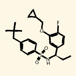 CC[C@@H](NS(=O)(=O)c1ccc(CC(C)(C)C)cc1)c1ccc(F)c(OCC2CC2)c1